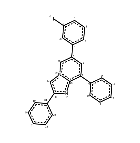 Ic1cccc(-c2cc(-c3ccccc3)c3nc(-c4ccccc4)cn3c2)c1